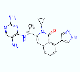 C[C@H](Nc1nc(N)ncc1N)c1cc2cccc(-c3cn[nH]c3)c2c(=O)n1C1CC1